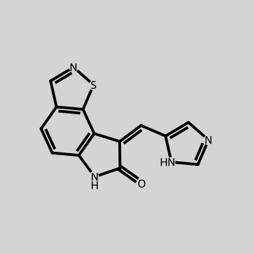 O=C1Nc2ccc3cnsc3c2/C1=C/c1cnc[nH]1